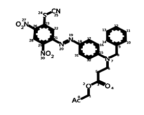 CC(=O)COC(=O)CCN(Cc1ccccc1)c1ccc(/N=N/c2cc(SC#N)c([N+](=O)[O-])cc2[N+](=O)[O-])cc1